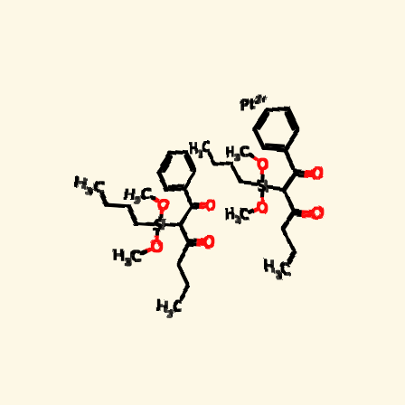 CCCC[Si](OC)(OC)C(C(=O)CCC)C(=O)c1ccccc1.CCCC[Si](OC)(OC)C(C(=O)CCC)C(=O)c1ccccc1.[Pt+2]